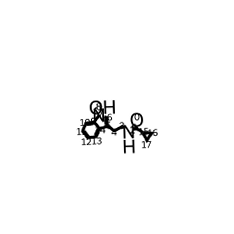 O=C(NCCc1cn(O)c2ccccc12)C1CC1